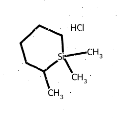 CC1CCCC[Si]1(C)C.Cl